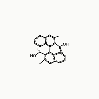 Cc1cc2ccccc2c(-c2c(C(=O)O)c(C)cc3ccccc23)c1C(=O)O